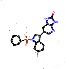 O=c1[nH]c2cc(-c3cn(S(=O)(=O)c4ccccc4)c4cc(F)ccc34)cnc2[nH]1